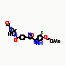 COCCOc1cc2[nH]nc(-c3cc(-c4ccc(C(=O)N5C[C@@H]6CN(C7COC7)C[C@]6(C)C5)cc4)no3)c2cc1F